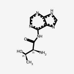 C[C@@H](O)[C@H](N)C(=O)Nc1ncnc2[nH]cnc12